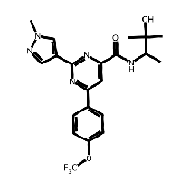 CC(NC(=O)c1cc(-c2ccc(OC(F)(F)F)cc2)nc(-c2cnn(C)c2)n1)C(C)(C)O